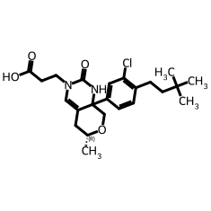 C[C@@H]1CC2=CN(CCC(=O)O)C(=O)NC2(c2ccc(CCC(C)(C)C)c(Cl)c2)CO1